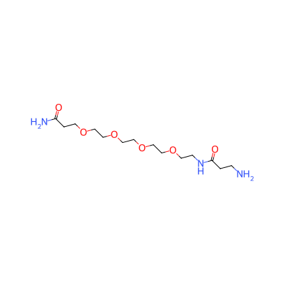 NCCC(=O)NCCOCCOCCOCCOCCC(N)=O